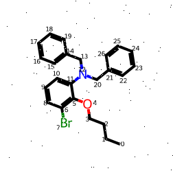 CCCCOc1c(Br)cccc1N(Cc1ccccc1)Cc1ccccc1